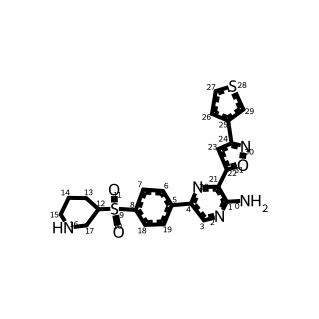 Nc1ncc(-c2ccc(S(=O)(=O)C3CCCNC3)cc2)nc1-c1cc(-c2ccsc2)no1